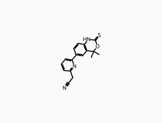 CC1(C)OC(=S)Nc2ccc(-c3cccc(CC#N)n3)cc21